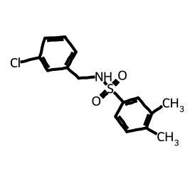 Cc1ccc(S(=O)(=O)NCc2cccc(Cl)c2)cc1C